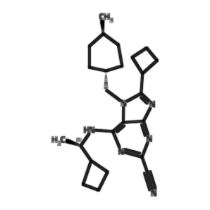 C[C@@H](Nc1nc(C#N)nc2nc(C3CCC3)n(C[C@H]3CC[C@H](C)CC3)c12)C1CCC1